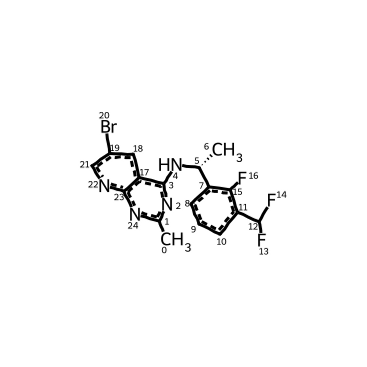 Cc1nc(N[C@H](C)c2cccc(C(F)F)c2F)c2cc(Br)cnc2n1